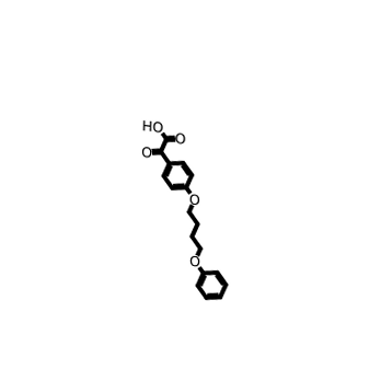 O=C(O)C(=O)c1ccc(OCCCCOc2ccccc2)cc1